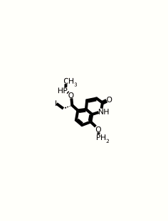 CPO[C@@H](CI)c1ccc(OP)c2[nH]c(=O)ccc12